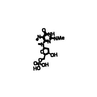 C=Nc1c(N(C)[C@H]2C[C@H](O)[C@@H](COP(=O)(O)O)O2)nc(NC)[nH]c1=O